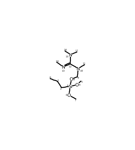 CCC[Si](OC)(OC)OCN(C)C(=NC)N(C)C